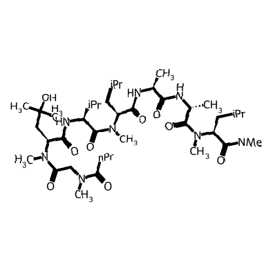 CCCC(=O)N(C)CC(=O)N(C)[C@@H](CC(C)(C)O)C(=O)N[C@H](C(=O)N(C)[C@@H](CC(C)C)C(=O)N[C@@H](C)C(=O)N[C@H](C)C(=O)N(C)[C@@H](CC(C)C)C(=O)NC)C(C)C